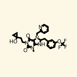 Cn1c2c(c(=O)n(CCC3(O)CC3)c1=O)N(Cc1ccccn1)C(Cc1cccc(OC(F)(F)F)c1)N2